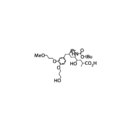 COCCCOc1cc(CC(CC(NC(=O)OC(C)(C)C)C(O)CC(C)C(=O)O)C(C)C)ccc1OCCCO